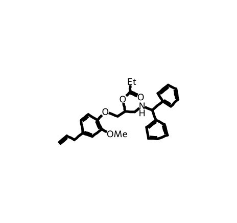 C=CCc1ccc(OCC(CNC(c2ccccc2)c2ccccc2)OC(=O)CC)c(OC)c1